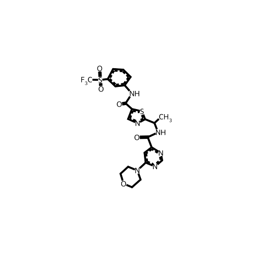 CC(NC(=O)c1cc(N2CCOCC2)ncn1)c1ncc(C(=O)Nc2cccc(S(=O)(=O)C(F)(F)F)c2)s1